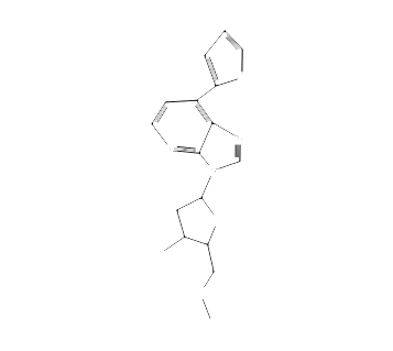 COCC1OC(n2cnc3c(-c4cccs4)ccnc32)CC1O